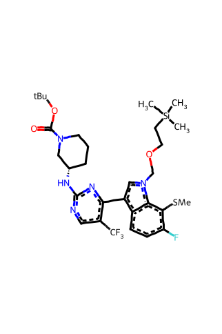 CSc1c(F)ccc2c(-c3nc(N[C@H]4CCCN(C(=O)OC(C)(C)C)C4)ncc3C(F)(F)F)cn(COCC[Si](C)(C)C)c12